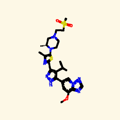 COc1cc(-c2[nH]nc(-c3nc(C)c(N4CCN(CCS(C)(=O)=O)C[C@H]4C)s3)c2C(C)C)cn2ncnc12